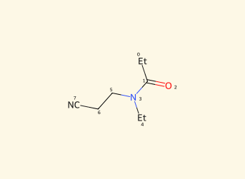 CCC(=O)N(CC)CCC#N